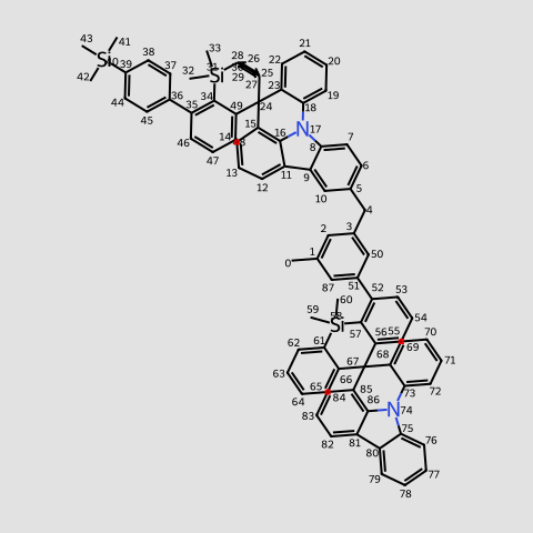 Cc1cc(Cc2ccc3c(c2)c2cccc4c2n3-c2ccccc2C42c3ccccc3[Si](C)(C)c3c(-c4ccc([Si](C)(C)C)cc4)cccc32)cc(-c2cccc3c2[Si](C)(C)c2ccccc2C32c3ccccc3-n3c4ccccc4c4cccc2c43)c1